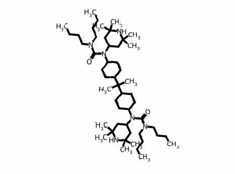 CCCCN(CCCC)C(=O)N(C1CCC(C(C)(C)C2CCC(N(C(=O)N(CCCC)CCCC)C3CC(C)(C)NC(C)(C)C3)CC2)CC1)C1CC(C)(C)NC(C)(C)C1